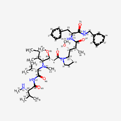 CC[C@H](C)[C@@H]([C@@H](CC(=O)N1CCC[C@H]1[C@H](OC)[C@@H](C)C(=O)N[C@@H](Cc1ccccc1)C(=O)NCc1ccccc1)OC)N(C)[C@H](C(=O)NC(=O)[C@@H](NC)C(C)C)C(C)C